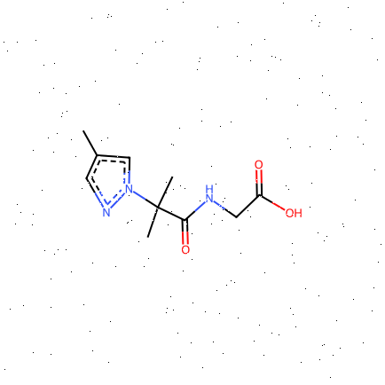 Cc1cnn(C(C)(C)C(=O)NCC(=O)O)c1